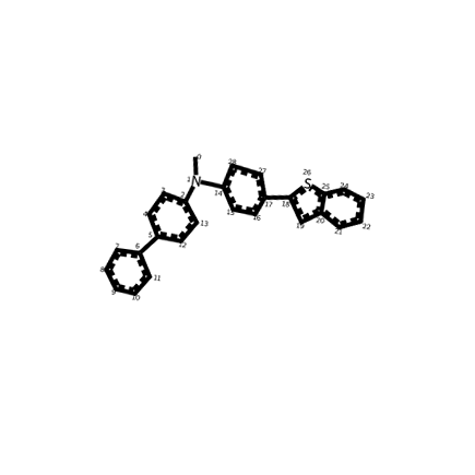 CN(c1ccc(-c2ccccc2)cc1)c1ccc(-c2cc3ccccc3s2)cc1